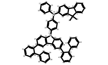 CC1(C)c2ccccc2-c2ccc(N(c3ccccc3)c3ccc(-n4c5ccc(-c6ccccc6-c6ccccc6)cc5c5cc(-c6ccccc6-c6ccccc6)ccc54)cc3)cc21